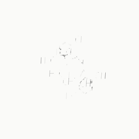 CC1=C2c3c(C)ccc(C)c3[CH]1[Hf]([CH3])([CH3])[CH]1C(C)=C(c3c(C)ccc(C)c31)[Si]21CCCC1